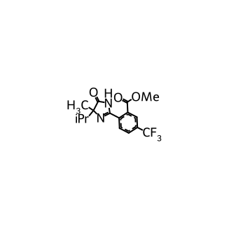 COC(=O)c1cc(C(F)(F)F)ccc1C1=NC(C)(C(C)C)C(=O)N1